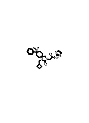 CN(C)C1(c2ccccc2)CCC2(CC1)CN(CC(=O)Nc1nccs1)C(=O)N2CC1CCC1